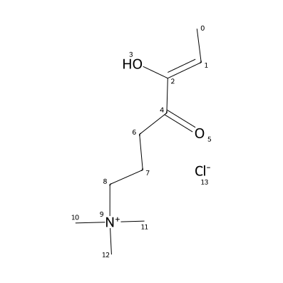 CC=C(O)C(=O)CCC[N+](C)(C)C.[Cl-]